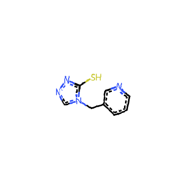 Sc1nncn1Cc1cccnc1